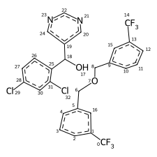 FC(F)(F)c1cccc(COCc2cccc(C(F)(F)F)c2)c1.OC(c1cncnc1)c1ccc(Cl)cc1Cl